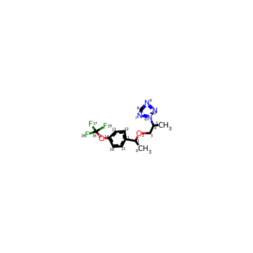 CC(OCC(C)n1ncnn1)c1ccc(OC(F)(F)F)cc1